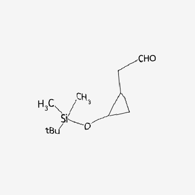 CC(C)(C)[Si](C)(C)OC1CC1CC=O